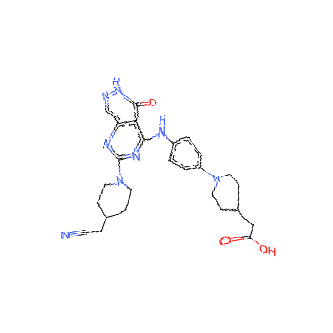 N#CCC1CCN(c2nc(Nc3ccc(N4CCC(CC(=O)O)CC4)cc3)c3c(=O)[nH]ncc3n2)CC1